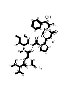 CC[C@H](C)[C@@H]([C@@H](CC(=O)N1CCC[C@H]1[C@H](OC)[C@@H](C)C(=O)N[C@H](C)[C@@H](O)c1ccccc1)OC)N(C)C(=O)[C@H](CCN)NC(=O)C(C(C)C)N(C)C